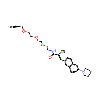 C#CCOCCOCCOCCNC(=O)/C(C#N)=C/c1ccc2cc(N3CCCCC3)ccc2c1